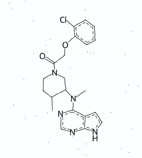 CC1CCN(C(=O)COc2ccccc2Cl)CC1N(C)c1ncnc2[nH]ccc12